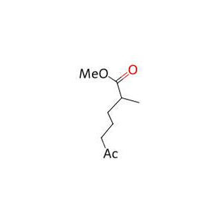 COC(=O)C(C)CCCC(C)=O